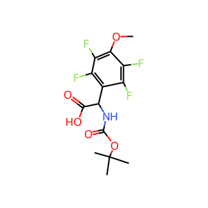 COc1c(F)c(F)c(C(NC(=O)OC(C)(C)C)C(=O)O)c(F)c1F